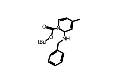 CC1=CC(NCc2ccccc2)N(C(=O)OC(C)(C)C)C=C1